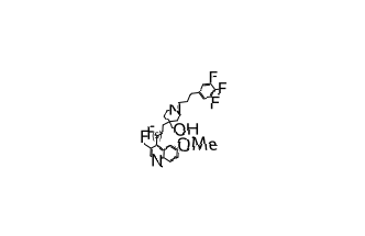 COc1ccc2ncc(CF)c([C@@H](F)CCC3(CO)CCN(CCCc4cc(F)c(F)c(F)c4)CC3)c2c1